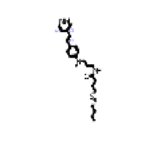 C/C=C(\C=C/N)/C=C/c1ccc(N(C)CCCN(C)C(=O)CCCSSCCCC)cc1